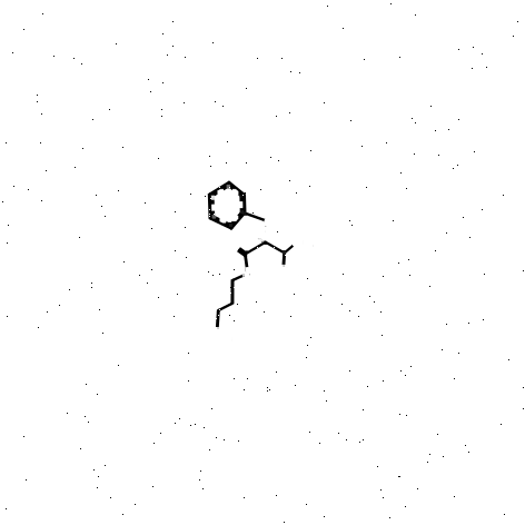 CCCCNC(=O)[C@H](Cc1ccccc1)C(C)C